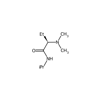 CC[C@H](C(=O)NC(C)C)N(C)C